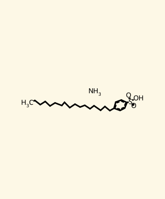 CCCCCCCCCCCCCCCCCc1ccc(S(=O)(=O)O)cc1.N